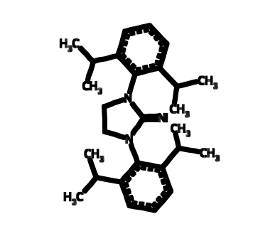 CC(C)c1cccc(C(C)C)c1N1CCN(c2c(C(C)C)cccc2C(C)C)[C]1=[Ni]